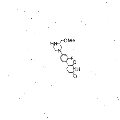 COC[C@H]1CN(c2ccc(C3CCC(=O)NC3=O)c(F)c2)CCN1